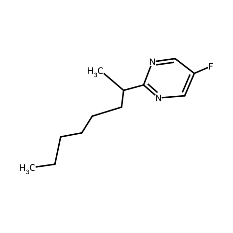 CCCCCCC(C)c1ncc(F)cn1